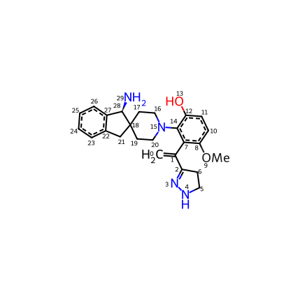 C=C(C1=NNCC1)c1c(OC)ccc(O)c1N1CCC2(CC1)Cc1ccccc1[C@H]2N